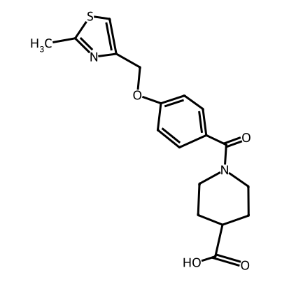 Cc1nc(COc2ccc(C(=O)N3CCC(C(=O)O)CC3)cc2)cs1